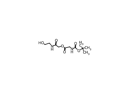 CC(C)(C)OC(=O)NCC(=O)OCC(=O)NCCO